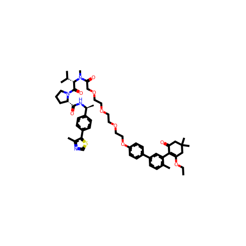 CCOC1=C(c2cc(-c3ccc(OCCOCCOCCOCC(=O)N(C)[C@H](C(=O)N4CCC[C@H]4C(=O)N[C@@H](C)c4ccc(-c5scnc5C)cc4)C(C)C)cc3)ccc2C)C(=O)CC(C)(C)C1